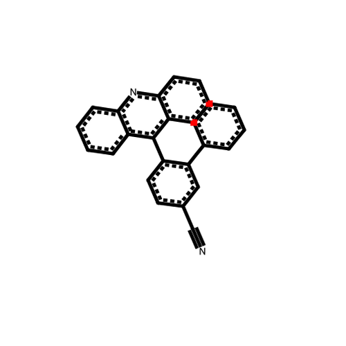 N#Cc1ccc(-c2c3ccccc3nc3ccccc23)c(-c2ccccc2)c1